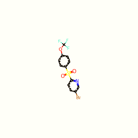 O=S(=O)(c1ccc(OC(F)(F)F)cc1)c1ccc(Br)cn1